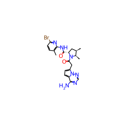 Cc1ccc(Br)nc1NC(=O)[C@@H]1C[C@@H](C)[C@@H](C)N1C(=O)Cc1ccc2c(N)ncnn12